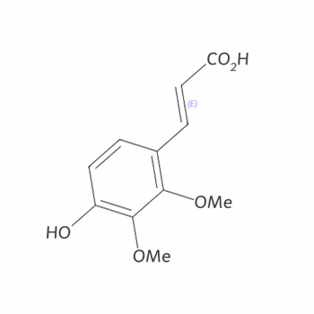 COc1c(O)ccc(/C=C/C(=O)O)c1OC